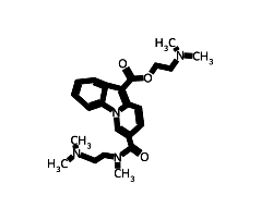 CN(C)CCOC(=O)c1c2ccccc2n2cc(C(=O)N(C)CCN(C)C)ccc12